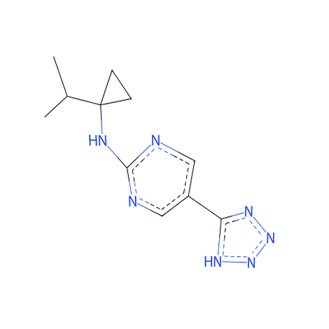 CC(C)C1(Nc2ncc(-c3nnn[nH]3)cn2)CC1